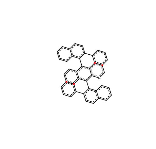 c1ccc(-c2ccc3ccccc3c2-c2c3ccccc3c(-c3c(-c4ccccc4)ccc4ccccc34)c3ncccc23)cc1